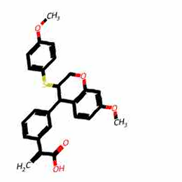 C=C(C(=O)O)c1cccc(C2c3ccc(OC)cc3OCC2Sc2ccc(OC)cc2)c1